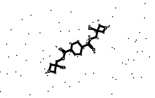 CCC1(COC(=O)C2CCC(C(=O)OCC3(CC)COC3)CC2)COC1